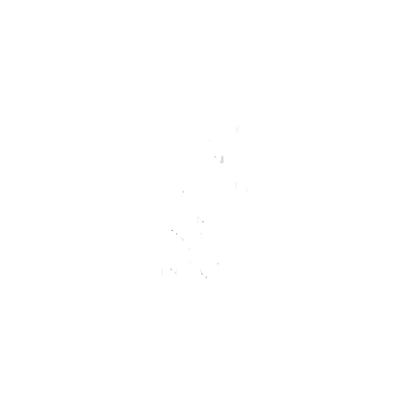 CCCCc1nc2c(N)nc3ccccc3c2n1CC(C)(C)CNC(=O)O